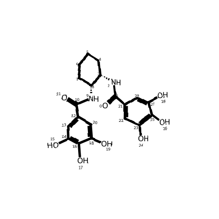 O=C(N[C@H]1CCCC[C@H]1NC(=O)c1cc(O)c(O)c(O)c1)c1cc(O)c(O)c(O)c1